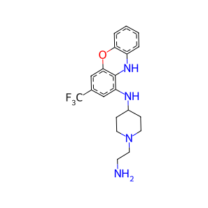 NCCN1CCC(Nc2cc(C(F)(F)F)cc3c2Nc2ccccc2O3)CC1